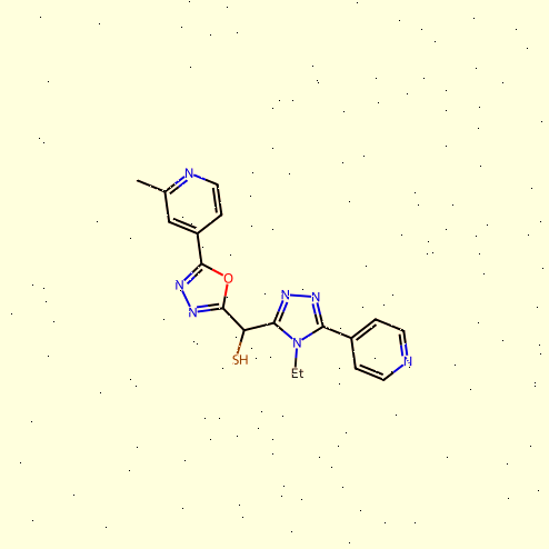 CCn1c(-c2ccncc2)nnc1C(S)c1nnc(-c2ccnc(C)c2)o1